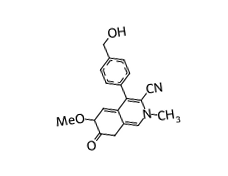 COC1C=C2C(=CN(C)C(C#N)=C2c2ccc(CO)cc2)CC1=O